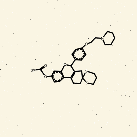 CC(C)(C)C(=O)Oc1ccc2c(c1)OC(c1ccc(OCCN3CCCCC3)cc1)C1=C2CCC2(C1)SCCCS2